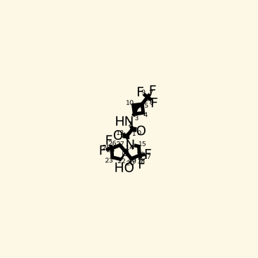 O=C(NC12CC(C(F)(F)F)(C1)C2)C(=O)N1CC(F)(F)[C@H](O)[C@@]12CCC(F)(F)C2